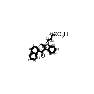 Cc1c(C(=O)c2cccc3ccccc23)c2ccccc2n1CCCC(=O)O